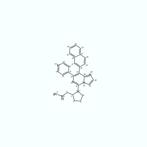 CC(C)NCC1CCCN1c1nc(-c2ccncc2)c(-c2ccc3ccccc3c2)c2nccn12